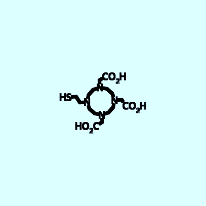 O=C(O)CN1CCN(CCS)CCN(CC(=O)O)CCN(CC(=O)O)CC1